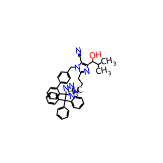 CCCc1nc(C(O)C(C)C)c(C#N)n1Cc1ccc(-c2ccccc2C2(C(c3ccccc3)(c3ccccc3)c3ccccc3)N=NN=N2)cc1